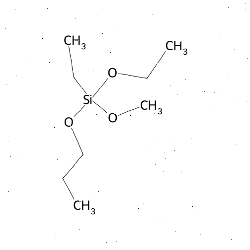 CCCO[Si](CC)(OC)OCC